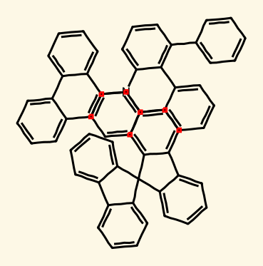 c1ccc(-c2ccccc2-c2c(-c3ccccc3)cccc2N(c2ccc3c(c2)C2(c4ccccc4-c4ccccc42)c2ccccc2-3)c2cc3ccccc3c3ccccc23)cc1